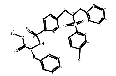 CC(C)(C)OC(=O)[C@H](Cc1ccccc1)NC(=O)c1ccc(CN(Cc2ccccn2)S(=O)(=O)c2ccc(Cl)cc2)cc1